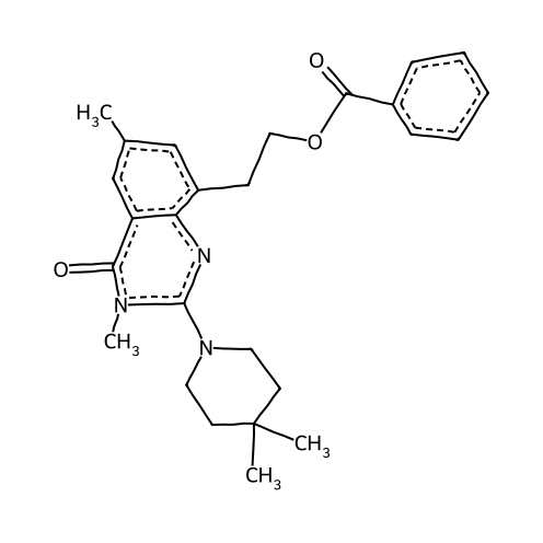 Cc1cc(CCOC(=O)c2ccccc2)c2nc(N3CCC(C)(C)CC3)n(C)c(=O)c2c1